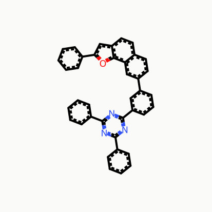 c1ccc(-c2nc(-c3ccccc3)nc(-c3cccc(-c4ccc5ccc6cc(-c7ccccc7)oc6c5c4)c3)n2)cc1